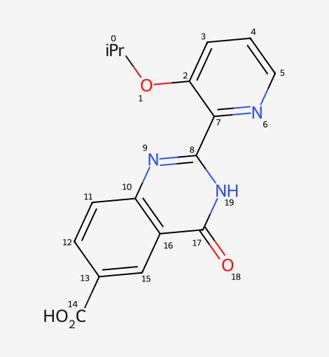 CC(C)Oc1cccnc1-c1nc2ccc(C(=O)O)cc2c(=O)[nH]1